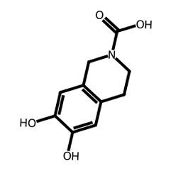 O=C(O)N1CCc2cc(O)c(O)cc2C1